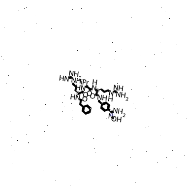 CC(C)C(NC(=O)[C@H](CCCNC(=N)N)NC(=O)Cc1ccccc1)C(=O)N[C@@H](CCCNC(=N)N)C(=O)NCc1ccc(/C(N)=N/O)cc1